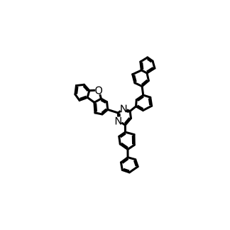 c1ccc(-c2ccc(-c3cc(-c4cccc(-c5ccc6ccccc6c5)c4)nc(-c4ccc5c(c4)oc4ccccc45)n3)cc2)cc1